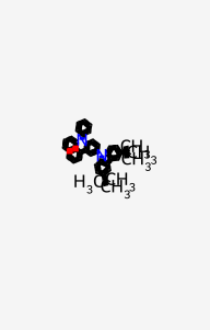 CC(C)(C)c1ccc2c(c1)c1cc(C(C)(C)C)ccc1n2-c1ccc(N(c2ccccc2)c2ccccc2)c(-c2ccccc2)c1